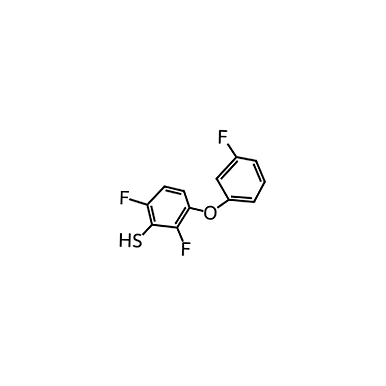 Fc1cccc(Oc2ccc(F)c(S)c2F)c1